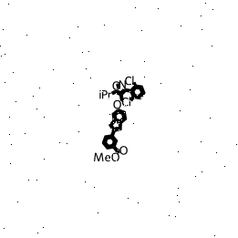 COC(=O)c1cccc(C2=Cc3ccc(OCc4c(-c5c(Cl)cccc5Cl)noc4C(C)C)cc3C2)c1